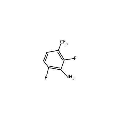 Nc1c(F)ccc(C(F)(F)F)c1F